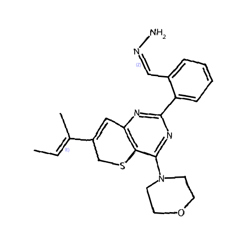 C/C=C(\C)C1=Cc2nc(-c3ccccc3/C=N\N)nc(N3CCOCC3)c2SC1